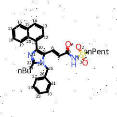 CCCCCS(=O)(=O)NC(=O)C=Cc1c(-c2cccc3ccccc23)nc(CCCC)n1Cc1ccccc1